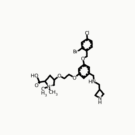 C[N+]1(C)CC(OCCOc2cc(CNCC3CNC3)cc(OCc3ccc(Cl)cc3Br)c2)CC1C(=O)O